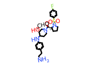 NCCc1ccc(NC2CCN(C(=O)[C@@H]3CCCN3S(=O)(=O)c3ccc(F)cc3)CC2)cc1.O=CO